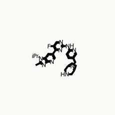 Cc1nc2ncc(-c3nc(Nc4ccc(CN5C6CCC5CNC6)cn4)ncc3F)cc2n1C(C)C